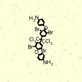 Nc1ccc(Oc2c(Br)cc(C(c3cc(Br)c(Oc4ccc(N)cc4)c(Br)c3)(C(Cl)(Cl)Cl)C(Cl)(Cl)Cl)cc2Br)cc1